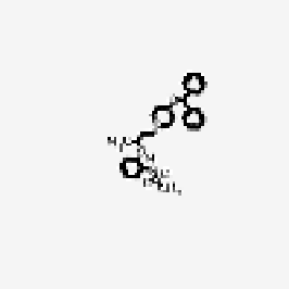 CC(CCN1CCC(OC(c2ccccc2)c2ccccc2)CC1)Oc1ccccc1NS(C)(=O)=O